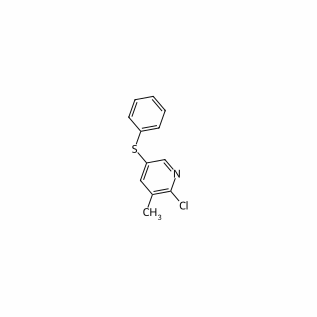 Cc1cc(Sc2ccccc2)cnc1Cl